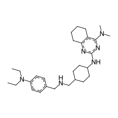 CCN(CC)c1ccc(CNCC2CCC(Nc3nc4c(c(N(C)C)n3)CCCC4)CC2)cc1